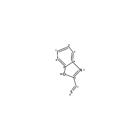 S=Cc1nc2ccccc2o1